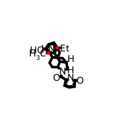 CCc1ccc(O)cc1C12CCNC(C)C13CCC1C2[C@@H](CN1C(=O)c1cccc(=O)[nH]1)C3